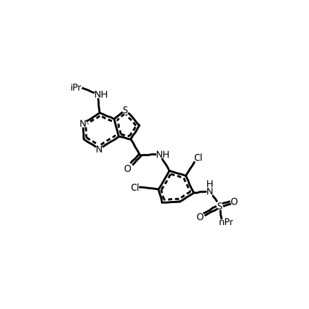 CCCS(=O)(=O)Nc1ccc(Cl)c(NC(=O)c2csc3c(NC(C)C)ncnc23)c1Cl